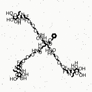 CCCC1O[C@H](CO)[C@H](O)[C@H](O)[C@H]1Nc1cncc(C(F)(F)COCCOCCOCCNC(=O)NCCCC(CCCNC(=O)NCCOCCOCCOCC(F)(F)c2cncc(N[C@H]3C(CCC)O[C@H](CO)[C@H](O)[C@@H]3O)n2)(CCCNC(=O)NCCOCCOCCOCC(F)(F)c2cncc(N[C@H]3C(CCC)O[C@H](CO)[C@H](O)[C@@H]3O)n2)NC(=O)OCc2ccccc2)n1